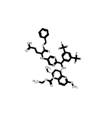 CCOC(=O)N1c2ccc(OC)nc2[C@@H](NC(c2cc(C(F)(F)F)cc(C(F)(F)F)c2)c2ncc(NC(CCC(=O)O)C(=O)OCc3ccccc3)cn2)C[C@H]1CC